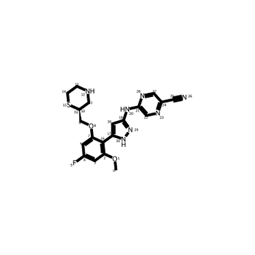 COc1cc(F)cc(OC[C@@H]2CNCCS2)c1-c1cc(Nc2cnc(C#N)cn2)n[nH]1